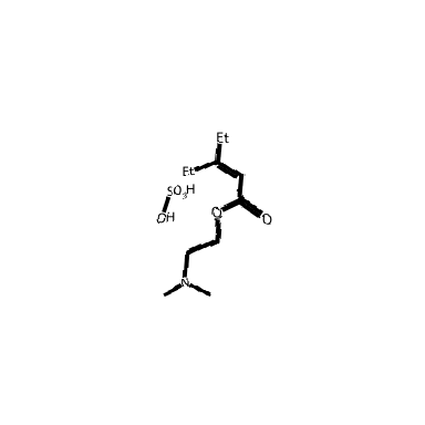 CCC(=CC(=O)OCCN(C)C)CC.O=S(=O)(O)O